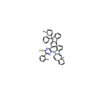 Cc1ccccc1-c1nc(N2c3ccccc3C3=CC4(C)CC=CC=C4C=CC32)c(-c2ccc3c(c2)[C@](C2=CC=CC(I)C2)(c2ccccc2)c2ccccc2-3)nc1S